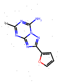 [2H]c1nc(N)n2nc(-c3ccco3)nc2n1